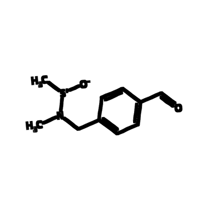 CN(Cc1ccc(C=O)cc1)[S+](C)[O-]